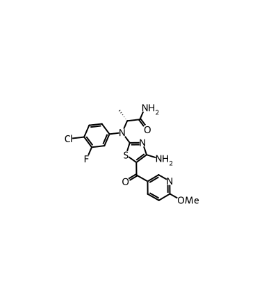 COc1ccc(C(=O)c2sc(N(c3ccc(Cl)c(F)c3)[C@H](C)C(N)=O)nc2N)cn1